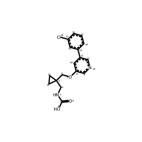 O=C(O)NCC1(COc2cncc(-c3cccc(Cl)c3)c2)CC1